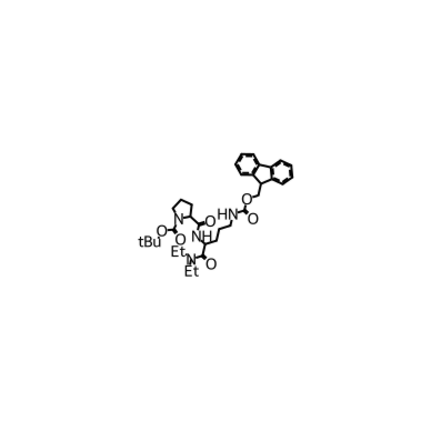 CCN(CC)C(=O)C(CCCNC(=O)OCC1c2ccccc2-c2ccccc21)NC(=O)C1CCCN1C(=O)OC(C)(C)C